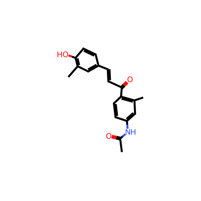 CC(=O)Nc1ccc(C(=O)C=Cc2ccc(O)c(C)c2)c(C)c1